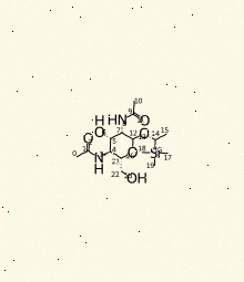 CC(=O)N[C@H]1[C@H](O)[C@H](NC(C)=O)C(OC(C)[Si](C)(C)C)O[C@@H]1CO